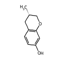 C[C@@H]1COc2cc(O)ccc2C1